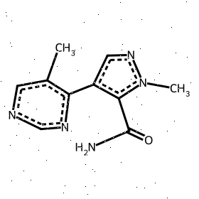 Cc1cncnc1-c1cnn(C)c1C(N)=O